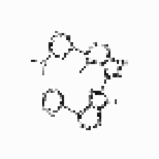 CN(C)c1cncc(-c2ncc3[nH]nc(-c4nc5c(-c6cccnc6)cccc5[nH]4)c3c2F)c1